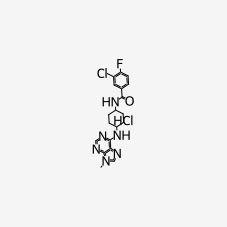 Cl.Cn1cnc2c(NC3CCC(NC(=O)c4ccc(F)c(Cl)c4)CC3)ncnc21